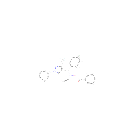 O=C(ON1C=COc2c(c(C(F)(F)F)nn2-c2ccccc2)C1c1ccc(Cl)cc1Cl)c1ccccc1